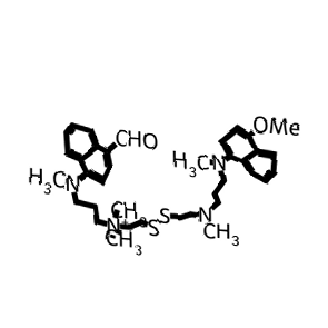 COc1ccc(N(C)CCCN(C)CCSSCC[N+](C)(C)CCCN(C)c2ccc(C=O)c3ccccc23)c2ccccc12